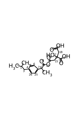 CC(C)Cc1ccc(C(C)C(=O)OC(=O)CC(O)(CC(=O)O)C(=O)O)cc1